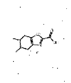 CN1CC2=C(CN1C)[S-]C(C(=O)O)=N2.[Li+]